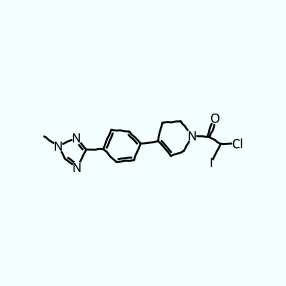 Cn1cnc(-c2ccc(C3=CCN(C(=O)C(Cl)I)CC3)cc2)n1